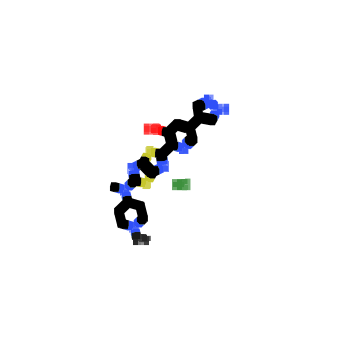 CCCN1CCC(N(C)c2nc3sc(-c4ncc(-c5cn[nH]c5)cc4O)nc3s2)CC1.Cl